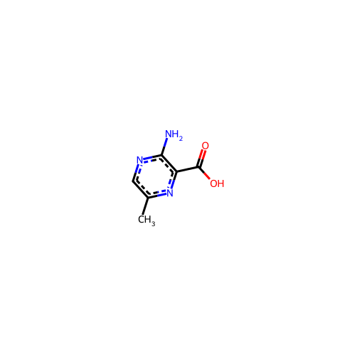 Cc1cnc(N)c(C(=O)O)n1